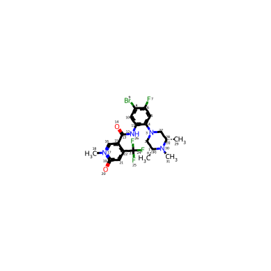 C[C@@H]1CN(c2cc(F)c(Br)cc2NC(=O)c2cn(C)c(=O)cc2C(F)(F)F)C[C@H](C)N1C